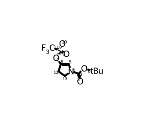 CC(C)(C)OC(=O)N1C=C(OS(=O)(=O)C(F)(F)F)CC1